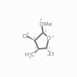 CC[C@H]1OC(OC)[C@H](Cl)[C@@H]1C